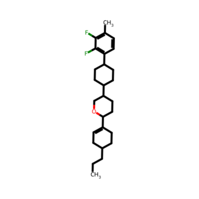 CCCC1CC=C(C2CCC(C3CCC(c4ccc(C)c(F)c4F)CC3)CO2)CC1